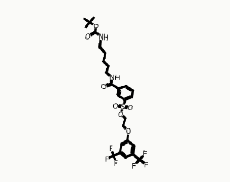 CC(C)(C)OC(=O)NCCCCCNC(=O)c1cccc(S(=O)(=O)OCCOc2cc(C(F)(F)F)cc(C(F)(F)F)c2)c1